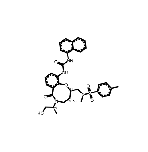 Cc1ccc(S(=O)(=O)N(C)C[C@@H]2Oc3c(NC(=O)Nc4cccc5ccccc45)cccc3C(=O)N([C@@H](C)CO)C[C@H]2C)cc1